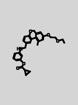 CCOCCOc1cc(C)c2c(c1)COc1ccc(CNc3cccc(OC(=O)C4CC4)c3)cc1-2